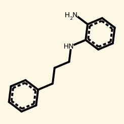 Nc1ccccc1NCCCc1ccccc1